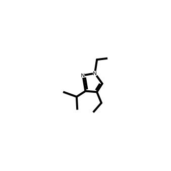 CCc1cn(CC)nc1C(C)C